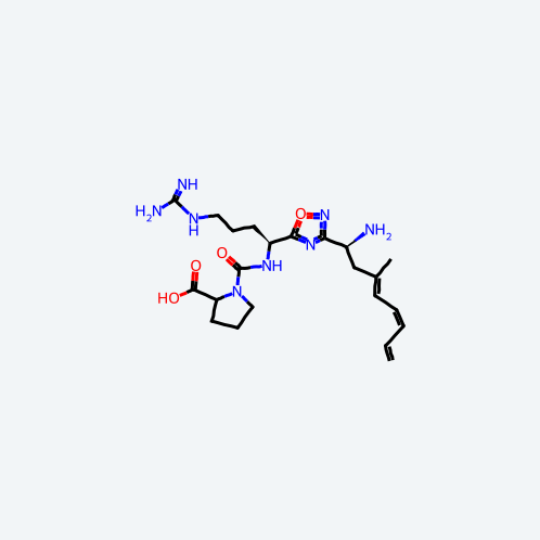 C=C/C=C\C=C(/C)C[C@H](N)c1noc([C@H](CCCNC(=N)N)NC(=O)N2CCCC2C(=O)O)n1